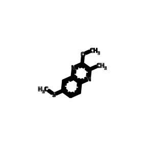 COc1nc2cc(SC)ccc2nc1C